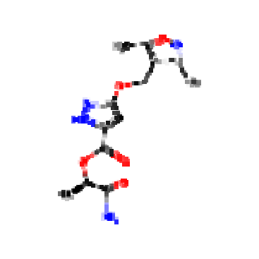 CCCCc1noc(C)c1COc1cc(C(=O)O[C@H](C)C(N)=O)[nH]n1